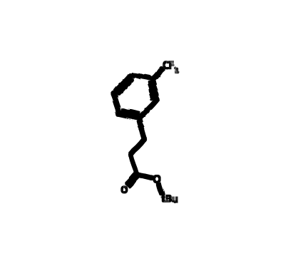 CC(C)(C)OC(=O)CCc1cccc(C(F)(F)F)c1